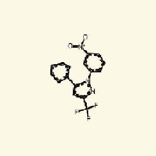 O=[N+]([O-])c1cccc(-n2nc(C(F)(F)F)cc2-c2ccccc2)c1